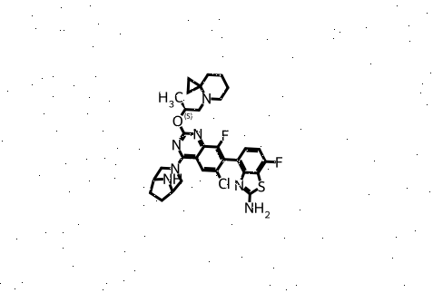 C[C@@H](CN1CCCCC12CC2)Oc1nc(N2CC3CCC(C2)N3)c2cc(Cl)c(-c3ccc(F)c4sc(N)nc34)c(F)c2n1